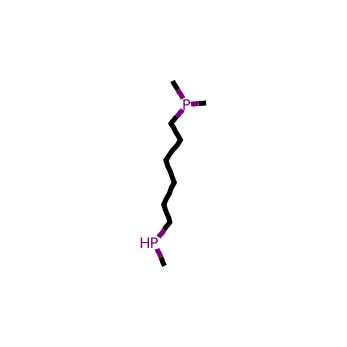 CPCCCCCCP(C)C